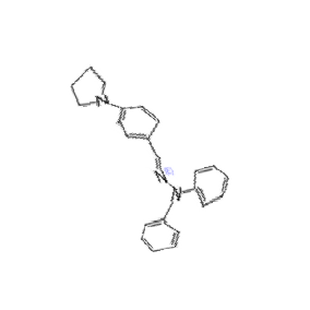 C(=N\N(c1ccccc1)c1ccccc1)/c1ccc(N2CCCC2)cc1